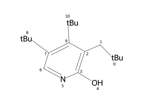 CC(C)(C)Cc1c(O)ncc(C(C)(C)C)c1C(C)(C)C